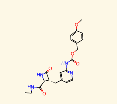 CCNC(=O)[C@H]1NC(=O)[C@@H]1Cc1ccnc(NC(=O)OCc2ccc(OC)cc2)c1